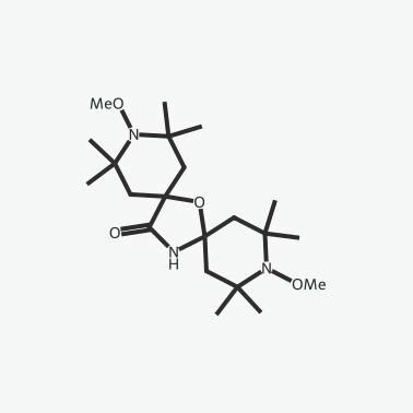 CON1C(C)(C)CC2(CC1(C)C)NC(=O)C1(CC(C)(C)N(OC)C(C)(C)C1)O2